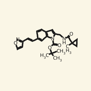 CC(C)(C)OC(=O)n1c(CNC(=O)C2(C)CC2)cc2ccc(C=Cc3ccon3)cc21